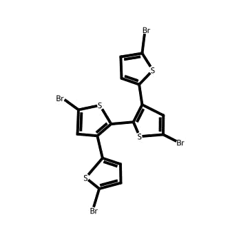 Brc1ccc(-c2cc(Br)sc2-c2sc(Br)cc2-c2ccc(Br)s2)s1